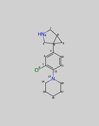 Clc1cc(C23CNCC2C3)ccc1N1CCCCC1